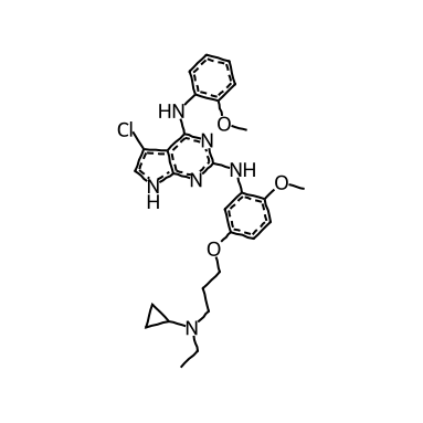 CCN(CCCOc1ccc(OC)c(Nc2nc(Nc3ccccc3OC)c3c(Cl)c[nH]c3n2)c1)C1CC1